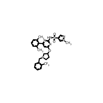 Cc1cccc(C)c1-c1cc(OC2CCN(Cc3ccccc3C(F)(F)F)C2)nc(NS(=O)(=O)c2cnn(C)c2)n1